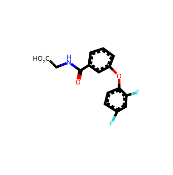 O=C(O)CNC(=O)c1cccc(Oc2ccc(F)cc2F)c1